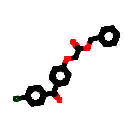 O=C(COc1ccc(C(=O)c2ccc(Cl)cc2)cc1)OCc1ccccc1